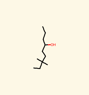 CCCC(O)CCC(C)(C)CC